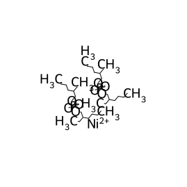 CCCCC(CC)COP(=O)([O-])OCC(CC)CCCC.CCCCC(CC)COP(=O)([O-])OCC(CC)CCCC.[Ni+2]